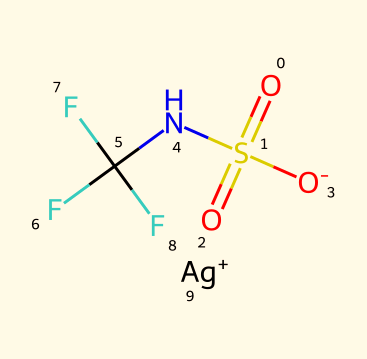 O=S(=O)([O-])NC(F)(F)F.[Ag+]